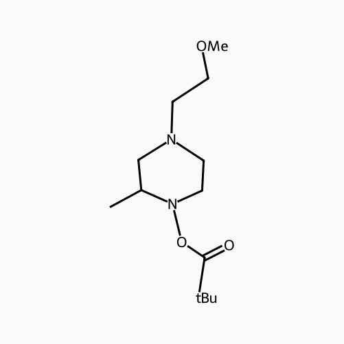 COCCN1CCN(OC(=O)C(C)(C)C)C(C)C1